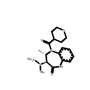 C[C@H]1[C@H](N(C(=O)O)C(C)(C)C)C(=O)Nc2ccccc2N1C(=O)C1CCOCC1